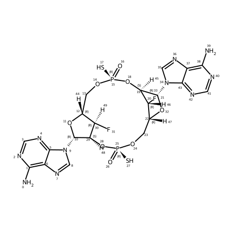 Nc1ncnc2c1ncn2[C@@H]1O[C@@H]2CO[P@@](=O)(S)O[C@@H]3[C@H](F)[C@@H](CO[P@@](=O)(S)O[C@@H]1[C@@H]2F)O[C@H]3n1cnc2c(N)ncnc21